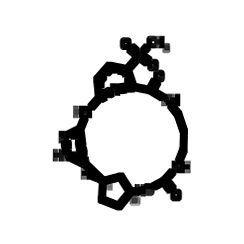 CS(=O)(=O)c1ccc2nc1C(=O)NCCCNC(=O)O[C@@H]1CC[C@@H](C1)c1cc(n[nH]1)N2